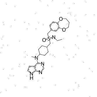 CCN=S(=O)(Cc1ccc2c(c1)OCCCO2)CC1CCC(N(C)c2ncnc3[nH]ccc23)CC1